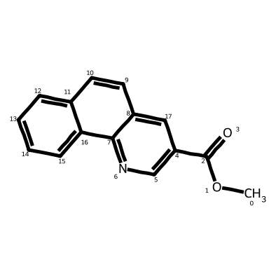 COC(=O)c1cnc2c(ccc3ccccc32)c1